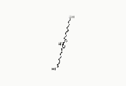 OCCCCCCCCONOCCCCCCCCO